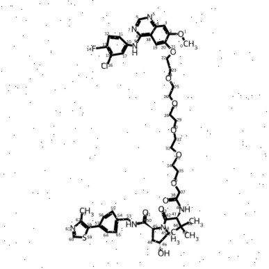 COc1cc2ncnc(Nc3ccc(F)c(Cl)c3)c2cc1OCCOCCOCCOCCOCCOCC(=O)N[C@H](C(=O)N1C[C@H](O)C[C@H]1C(=O)NCc1ccc(-c2scnc2C)cc1)C(C)(C)C